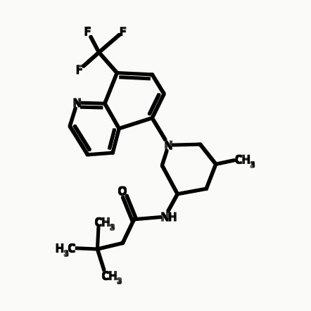 CC1CC(NC(=O)CC(C)(C)C)CN(c2ccc(C(F)(F)F)c3ncccc23)C1